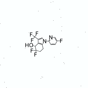 OC1c2c(C(F)(F)F)cn(-c3ccc(F)cn3)c2CCC1(F)F